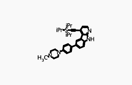 CC(C)S(C#Cc1ccnc2[nH]c3ccc(-c4ccc(N5CCN(C)CC5)cc4)cc3c12)(C(C)C)C(C)C